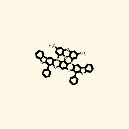 Cc1cc2c3c(c1)B1c4cc5c(oc6ccccc65)c(-c5ccccc5)c4Oc4cc5c6c(c41)N3c1c(cc(C)cc1B6c1cc3c(oc4ccccc43)c(-c3ccccc3)c1O5)O2